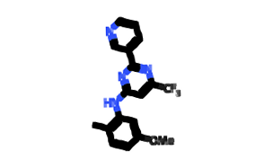 COc1ccc(C)c(Nc2cc(C(F)(F)F)nc(-c3cccnc3)n2)c1